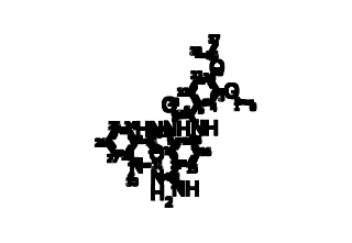 CCOc1cc(C(Nc2ccc(C(=N)N)cc2)C(=O)NNC(=O)c2ccccc2N(C)C)ccc1OC(C)C